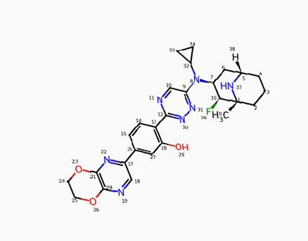 C[C@@]12CCC[C@@H](C[C@H](N(c3cnc(-c4ccc(-c5cnc6c(n5)OCCO6)cc4O)nn3)C3CC3)[C@@H]1F)N2